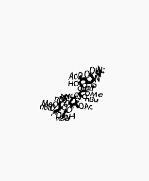 CCCCOC1[C@H](N=[N+]=[N-])C(O)OC(COC(C)=O)[C@H]1OC(CO)OC(C(=O)OC)[C@H](O[C@@H]1OC(COC(C)=O)[C@@H](OC(CO)OC(C(=O)OC)[C@@H](OCCCC)[C@H](C)OCCCC)C(OCCCC)[C@@H]1N=[N+]=[N-])[C@H](C)OCCCC